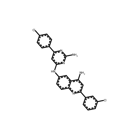 Nc1nc(Nc2ccc3nc(-c4cccc(Cl)c4)cc(N)c3c2)cc(-c2ccc(Cl)cc2)n1